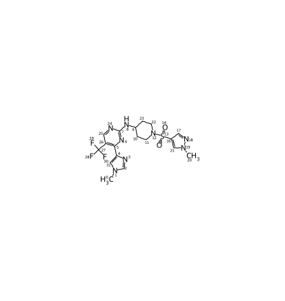 Cn1cnc(-c2nc(NC3CCN(S(=O)(=O)c4cnn(C)c4)CC3)ncc2C(F)(F)F)c1